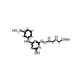 COCNCNOSc1nc(O)nc(Nc2cccc(S(=O)(=O)O)c2)n1